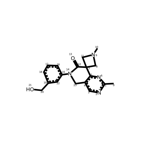 Cc1ncc2c(n1)C1(CN(C)C1)C(=O)N(c1cccc(CO)c1)C2